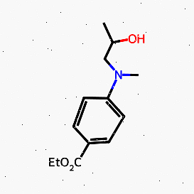 CCOC(=O)c1ccc(N(C)CC(C)O)cc1